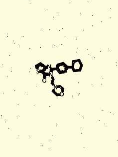 O=c1c2sccc2nc(-c2ccc(C3CCCCC3)cc2)n1CCN1CCOCC1